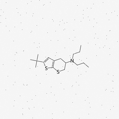 CCCN(CCC)C1CSc2sc(C(C)(C)C)cc2C1